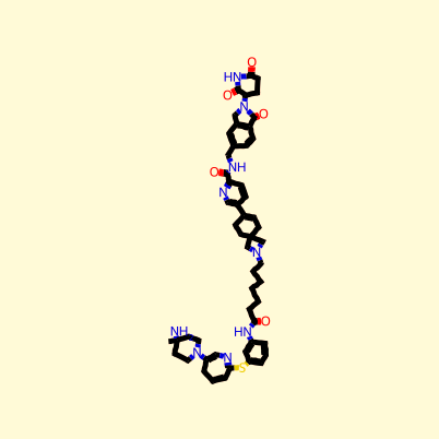 CC1(N)CCN(C2=CN=C(Sc3cccc(NC(=O)CCCCCCN4CC5(CC=C(c6ccc(C(=O)NCc7ccc8c(c7)CN(C7CCC(=O)NC7=O)C8=O)nc6)CC5)C4)c3)C=CC2)CC1